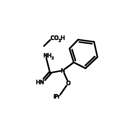 CC(=O)O.CC(C)ON(C(=N)N)c1ccccc1